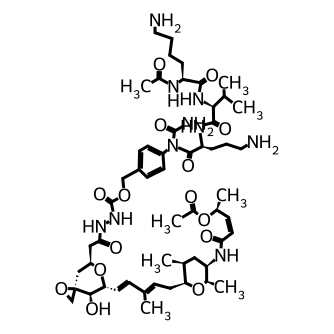 CC(=O)N[C@@H](CCCCN)C(=O)N[C@H](C(=O)N[C@@H](CCCN)C(=O)N(C(N)=O)c1ccc(COC(=O)NNC(=O)C[C@@H]2C[C@@]3(CO3)[C@H](O)[C@@H](/C=C/C(C)=C/C[C@@H]3O[C@H](C)[C@H](NC(=O)/C=C\[C@H](C)OC(C)=O)C[C@@H]3C)O2)cc1)C(C)C